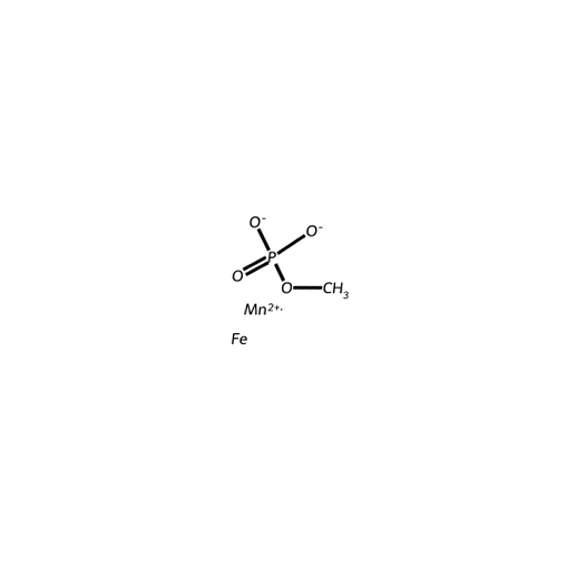 COP(=O)([O-])[O-].[Fe].[Mn+2]